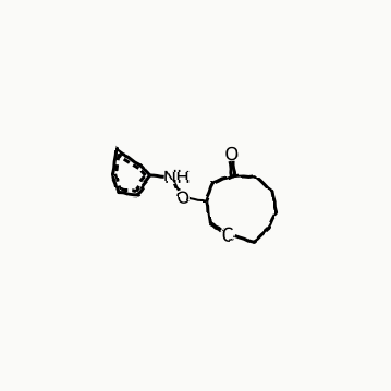 O=C1CCCCCCCC(ONc2ccccc2)C1